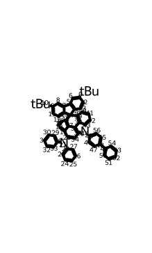 CC(C)(C)c1ccc2c(c1)-c1cc(C(C)(C)C)ccc1C21c2cccc3c(N(c4ccccc4)c4ccccc4)cc4c(c23)c2c1cccc2n4-c1ccc(-c2ccccc2)cc1